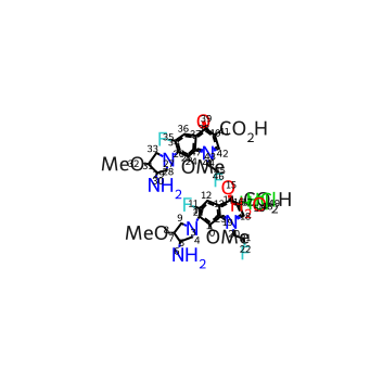 COc1c(N2CC(N)C(OC)C2)c(F)cc2c(=O)c(C(=O)O)cn(CCF)c12.COc1c(N2CC(N)C(OC)C2)c(F)cc2c(=O)c(C(=O)O)cn(CCF)c12.Cl.Cl.O